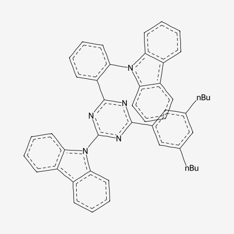 CCCCc1cc(CCCC)cc(-c2nc(-c3ccccc3-n3c4ccccc4c4ccccc43)nc(-n3c4ccccc4c4ccccc43)n2)c1